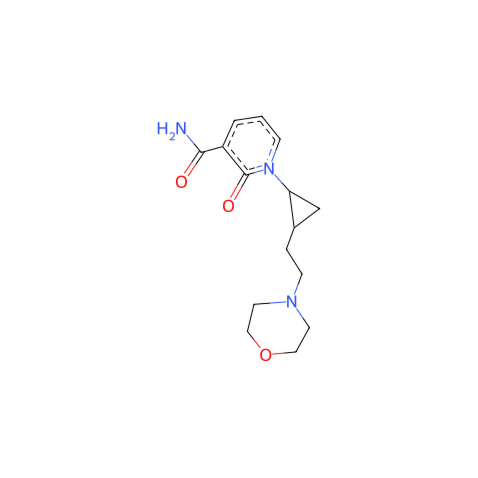 NC(=O)c1cccn(C2CC2CCN2CCOCC2)c1=O